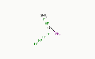 CCCCP.F.F.F.F.F.F.[SbH3]